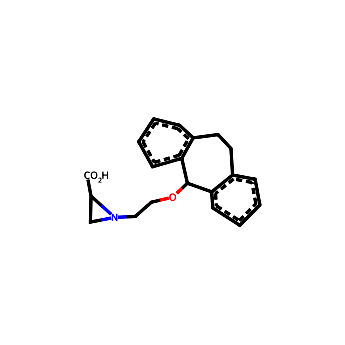 O=C(O)C1CN1CCOC1c2ccccc2CCc2ccccc21